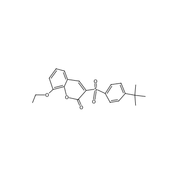 CCOc1cccc2cc(S(=O)(=O)c3ccc(C(C)(C)C)cc3)c(=O)oc12